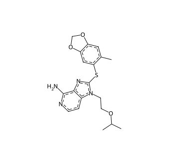 Cc1cc2c(cc1Sc1nc3c(N)nccc3n1CCOC(C)C)OCO2